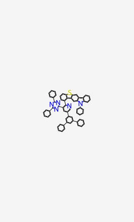 c1ccc(-c2cc(-c3ccccc3)cc(-c3cnc(-c4cccc5sc6cc7c8ccccc8n(-c8ccccc8)c7cc6c45)c(-c4nc(-c5ccccc5)nc(-c5ccccc5)n4)c3)c2)cc1